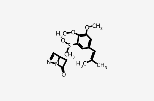 COc1cc(C=C(C)C)cc([S+](C)[O-])c1OC.O=C1CC2C=NN12